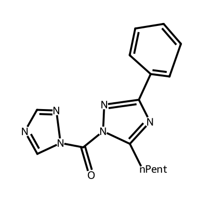 CCCCCc1nc(-c2ccccc2)nn1C(=O)n1cncn1